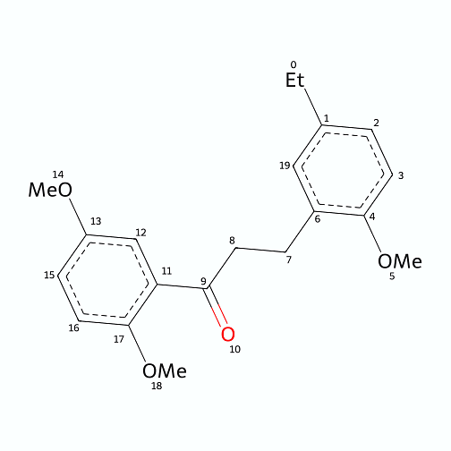 CCc1ccc(OC)c(CCC(=O)c2cc(OC)ccc2OC)c1